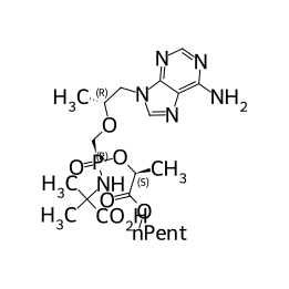 CCCCCOC(=O)[C@H](C)O[P@](=O)(CO[C@H](C)Cn1cnc2c(N)ncnc21)NC(C)(C)C(=O)O